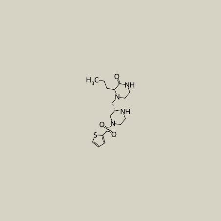 CCCC1C(=O)NCCN1C[C@H]1CN(S(=O)(=O)c2cccs2)CCN1